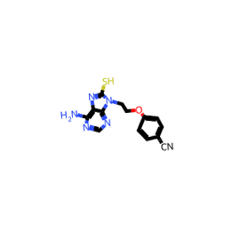 N#Cc1ccc(OCCn2c(S)nc3c(N)ncnc32)cc1